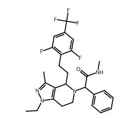 CCn1nc(C)c2c1CCN(C(C(=O)NC)c1ccccc1)C2CCc1c(F)cc(C(F)(F)F)cc1F